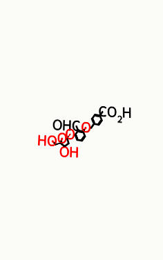 O=Cc1c(OCc2ccc(C(=O)O)cc2)cccc1O[C@H]1CC(O)[C@@H](CO)O1